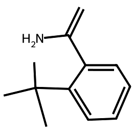 C=C(N)c1ccccc1C(C)(C)C